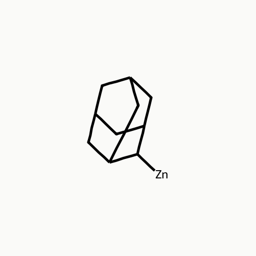 [Zn][CH]1C2CC3CC(C2)CC1C3